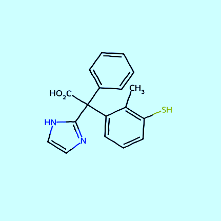 Cc1c(S)cccc1C(C(=O)O)(c1ccccc1)c1ncc[nH]1